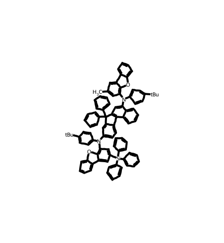 Cc1cc(N(c2ccc(C(C)(C)C)cc2)c2cc3c(c4ccccc24)-c2ccc(N(c4ccc(C(C)(C)C)cc4)c4cc([Si](c5ccccc5)(c5ccccc5)c5ccccc5)cc5c4oc4ccccc45)cc2C3(c2ccccc2)c2ccccc2)c2oc3ccccc3c2c1